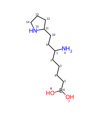 NC(CCCCB(O)O)CCC1CCCN1